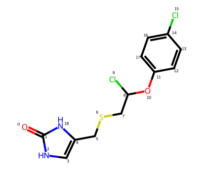 O=c1[nH]cc(CSCC(Cl)Oc2ccc(Cl)cc2)[nH]1